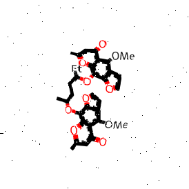 CCC(CCC(C)Oc1c2occc2c(OC)c2c(=O)cc(C)oc12)Oc1c2occc2c(OC)c2c(=O)cc(C)oc12